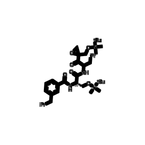 CC(C)Cc1cccc(C(=O)N[C@@H](CO[Si](C)(C)C(C)(C)C)C(=O)NC(CC(C)C)C(=O)C2(CO[Si](C)(C)C(C)(C)C)CO2)c1